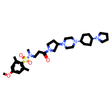 COc1cc(C)c(S(=O)(=O)N(C)CCC(=O)N2CCC(N3CCN([C@H]4CC[C@H](N5CCCC5)CC4)CC3)C2)c(C)c1